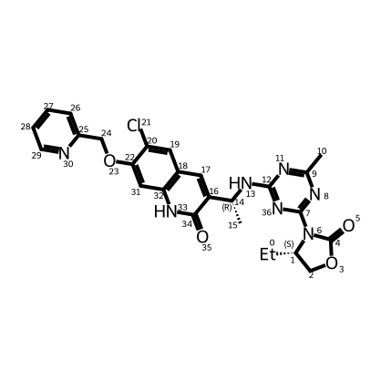 CC[C@H]1COC(=O)N1c1nc(C)nc(N[C@H](C)c2cc3cc(Cl)c(OCc4ccccn4)cc3[nH]c2=O)n1